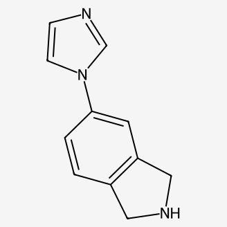 c1cn(-c2ccc3c(c2)CNC3)cn1